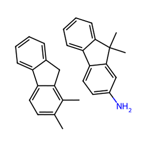 CC1(C)c2ccccc2-c2ccc(N)cc21.Cc1ccc2c(c1C)Cc1ccccc1-2